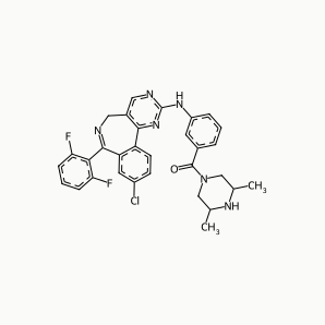 CC1CN(C(=O)c2cccc(Nc3ncc4c(n3)-c3ccc(Cl)cc3C(c3c(F)cccc3F)=NC4)c2)CC(C)N1